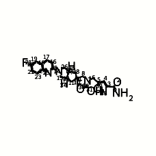 NC(=O)c1cc(CN(C[C@@]2(F)C[C@H]3CN(c4ccc5cc(F)ccc5n4)C[C@H]3C2)C(=O)O)on1